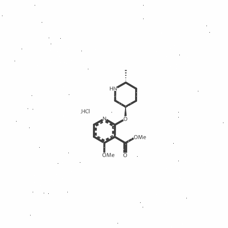 COC(=O)c1c(OC)ccnc1O[C@@H]1CC[C@@H](C)NC1.Cl